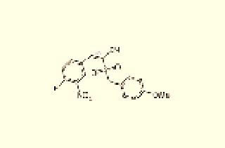 COc1ccc(CS(=O)(=O)/C(C#N)=C\c2ccc(F)c([N+](=O)[O-])c2)cc1